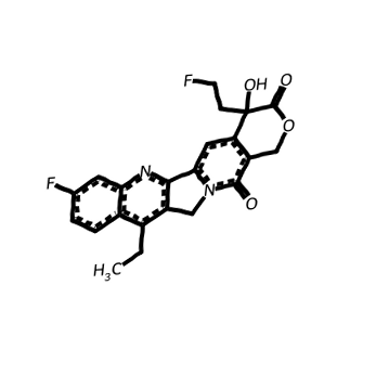 CCc1c2c(nc3cc(F)ccc13)-c1cc3c(c(=O)n1C2)COC(=O)C3(O)CCF